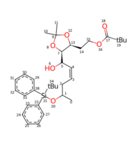 CC(C/C=C\C(O)[C@H]1OC(C)(C)O[C@H]1CCOC(=O)C(C)(C)C)O[Si](c1ccccc1)(c1ccccc1)C(C)(C)C